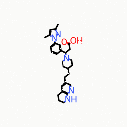 Cc1cc(C)n(-c2cccc(C(CC(=O)O)N3CCC(CCc4cnc5c(c4)CCCN5)CC3)c2)n1